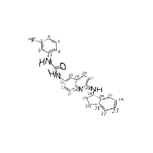 O=C(Nc1cccc(F)c1)Nc1ccc2nc(N[C@@H]3CCc4ccccc43)ccc2c1